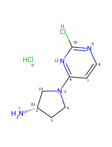 Cl.N[C@H]1CCN(c2ccnc(Cl)n2)C1